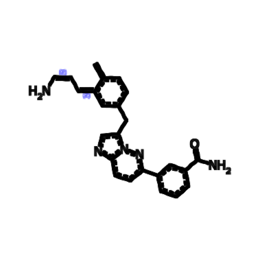 C=c1ccc(Cc2cnc3ccc(-c4cccc(C(N)=O)c4)nn23)c/c1=C/C=C\N